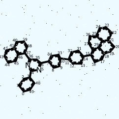 c1ccc(-c2nc(-c3ccc(-c4ccc(-c5ccc6ccc7cccc8ccc5c6c78)cc4)cc3)cc(-c3cccc4ccccc34)n2)cc1